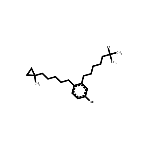 CCC(C)(C)CCCCCc1cc(O)ccc1CCCCCC1(C)CC1